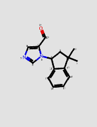 CC1(C)CC(n2cncc2C=O)c2ccccc21